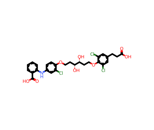 O=C(O)CCc1cc(Cl)c(OCC[C@@H](O)[C@H](O)CCOc2ccc(Nc3ccccc3C(=O)O)cc2Cl)c(Cl)c1